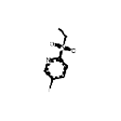 CCS(=O)(=O)c1ccc(I)cn1